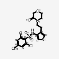 O=C1COCCN1CCc1cscc1NS(=O)(=O)c1c(Cl)cc(Cl)cc1Cl